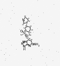 CS(=O)(=O)c1cc(-c2cccnc2)ccc1COc1cc(N)nc2[nH]nnc12